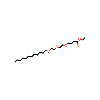 CCCCCCCCCCCCOCCOCCOCCCC(=O)OCC